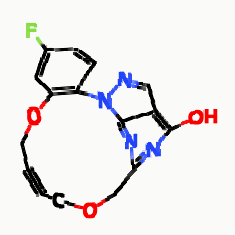 Oc1nc2nc3c1cnn3-c1ccc(F)cc1OCC#CCOC2